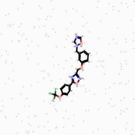 FC(F)(F)Oc1ccc(-c2nc(COc3cccc(CN4CN=CO4)c3)no2)cc1